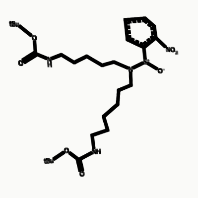 CC(C)(C)OC(=O)NCCCCCCN(CCCCCNC(=O)OC(C)(C)C)[S+]([O-])c1ccccc1[N+](=O)[O-]